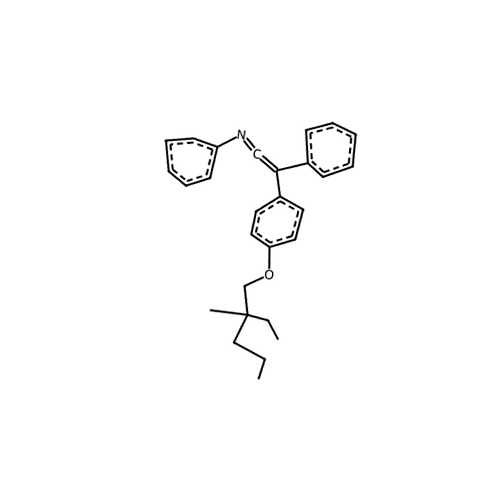 CCCC(C)(CC)COc1ccc(C(=C=Nc2ccccc2)c2ccccc2)cc1